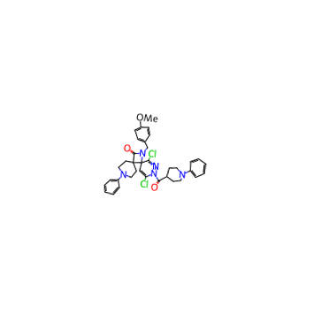 COc1ccc(CN2C(=O)C3(CCN(c4ccccc4)CC3)C23C=C(Cl)N(C(=O)C2CCN(c4ccccc4)CC2)N=C3Cl)cc1